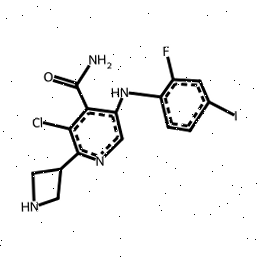 NC(=O)c1c(Nc2ccc(I)cc2F)cnc(C2CNC2)c1Cl